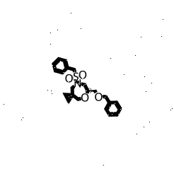 O=S(=O)(Cc1ccccc1)N1C[C@@H](COCc2ccccc2)OCC2(CC2)C1